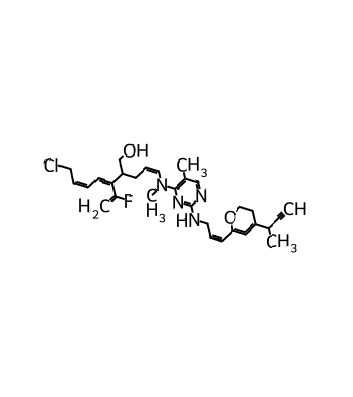 C#CC(C)C1=C=C(/C=C\CNc2ncc(C)c(N(C)/C=C\CC(CO)/C(=C/C=C\CCl)C(=C)F)n2)OCC1